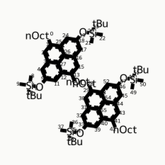 CCCCCCCCc1cc2cc(O[Si](C)(C)C(C)(C)C)cc3c(CCCCCCCC)cc4cc(O[Si](C)(C)C(C)(C)C)cc1c4c23.CCCCCCCCc1cc2cc(O[Si](C)(C)C(C)(C)C)cc3c(CCCCCCCC)cc4cc(O[Si](C)(C)C(C)(C)C)cc1c4c23